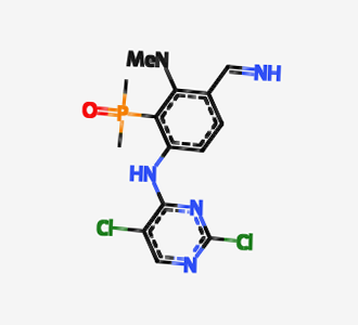 CNc1c(C=N)ccc(Nc2nc(Cl)ncc2Cl)c1P(C)(C)=O